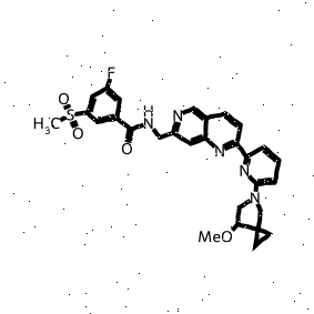 COC1CN(c2cccc(-c3ccc4cnc(CNC(=O)c5cc(F)cc(S(C)(=O)=O)c5)cc4n3)n2)CC12CC2